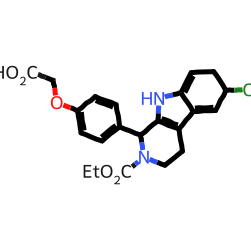 CCOC(=O)N1CCc2c([nH]c3c2=CC(Cl)CC=3)C1c1ccc(OCC(=O)O)cc1